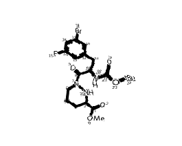 COC(=O)C1CCCN(C(=O)C(Cc2cc(F)cc(Br)c2)NC(=O)OC(C)(C)C)N1